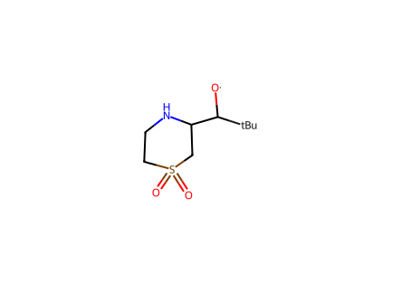 CC(C)(C)C([O])C1CS(=O)(=O)CCN1